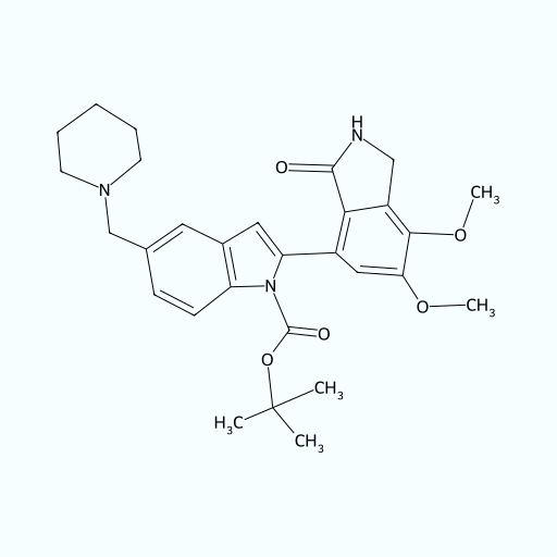 COc1cc(-c2cc3cc(CN4CCCCC4)ccc3n2C(=O)OC(C)(C)C)c2c(c1OC)CNC2=O